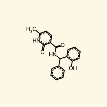 Cc1ccc(C(=O)NC(c2ccccc2)c2ccccc2O)c(=O)[nH]1